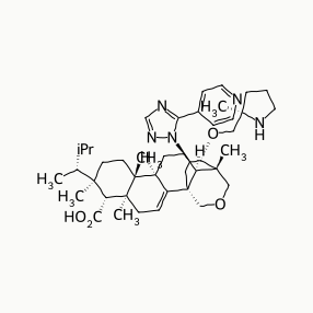 CC(C)[C@@H](C)[C@@]1(C)CC[C@]2(C)[C@H]3CC[C@@H]4[C@@]5(COC[C@@]4(C)[C@@H](OC[C@@]4(C)CCCN4)[C@H](n4ncnc4-c4ccncc4)C5)C3=CC[C@@]2(C)[C@@H]1C(=O)O